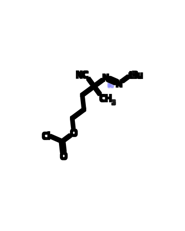 CC(C)(C)/N=N/C(C)(C#N)CCCOC(=O)Cl